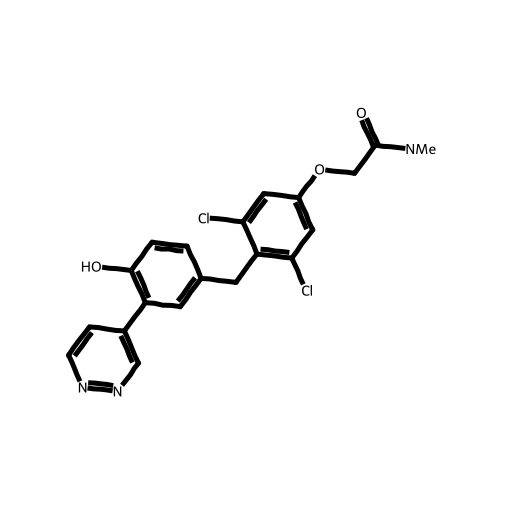 CNC(=O)COc1cc(Cl)c(Cc2ccc(O)c(-c3ccnnc3)c2)c(Cl)c1